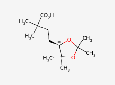 CC1(C)O[C@H](CCC(C)(C)C(=O)O)C(C)(C)O1